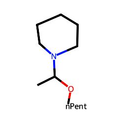 CCCCCOC(C)N1CCCCC1